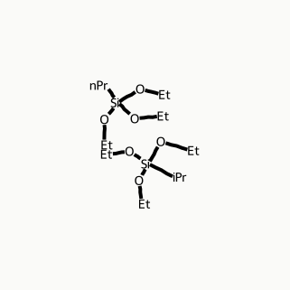 CCC[Si](OCC)(OCC)OCC.CCO[Si](OCC)(OCC)C(C)C